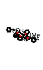 CCCCCC[Si](C)(C)Oc1cccc(C(=O)C2C(OCc3ccccc3)OCC2C(Sc2ccccc2)(Sc2ccccc2)c2ccc(OCc3ccccc3)c(OC)c2)c1